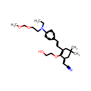 CCN(CCOCOC)c1ccc(/C=C/C2=C(OCCO)C(=C/C#N)/CC(C)(C)C2)cc1